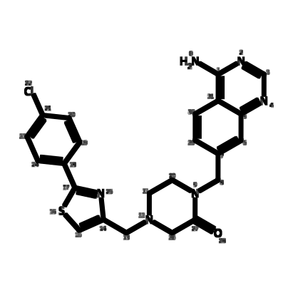 Nc1ncnc2cc(CN3CCN(Cc4csc(-c5ccc(Cl)cc5)n4)CC3=O)ccc12